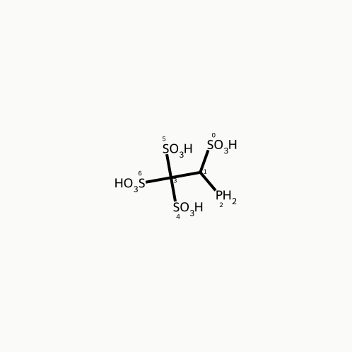 O=S(=O)(O)C(P)C(S(=O)(=O)O)(S(=O)(=O)O)S(=O)(=O)O